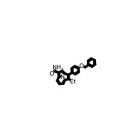 CCc1c(-c2ccc(OCc3ccccc3)cc2)c2cc(C(N)=O)c3cccc1n32